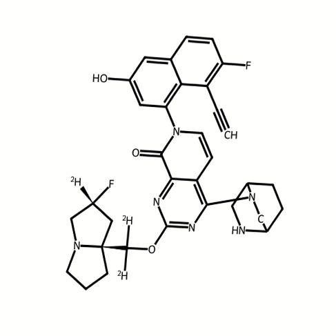 [2H]C([2H])(Oc1nc(N2CC3CCC2CN3)c2ccn(-c3cc(O)cc4ccc(F)c(C#C)c34)c(=O)c2n1)[C@@]12CCCN1C[C@]([2H])(F)C2